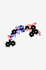 COc1ccc(C(OC[C@H]2O[C@@H](n3cnc4c(NC(=O)c5ccc(CNC(=O)OCC6c7ccccc7-c7ccccc76)cc5)ncnc43)C[C@H]2O)(c2ccccc2)c2ccc(OC)cc2)cc1